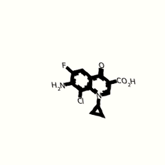 Nc1c(F)cc2c(=O)c(C(=O)O)cn(C3CC3)c2c1Cl